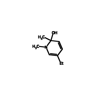 CCC1=CN(C)C(C)(O)C=C1